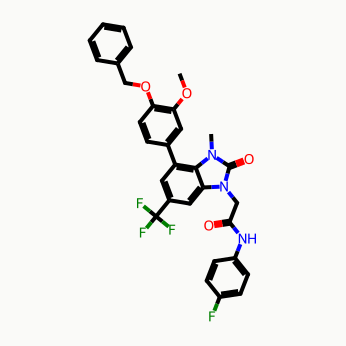 COc1cc(-c2cc(C(F)(F)F)cc3c2n(C)c(=O)n3CC(=O)Nc2ccc(F)cc2)ccc1OCc1ccccc1